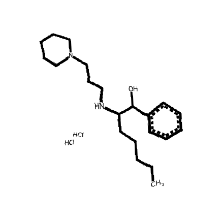 CCCCCC(NCCCN1CCCCC1)C(O)c1ccccc1.Cl.Cl